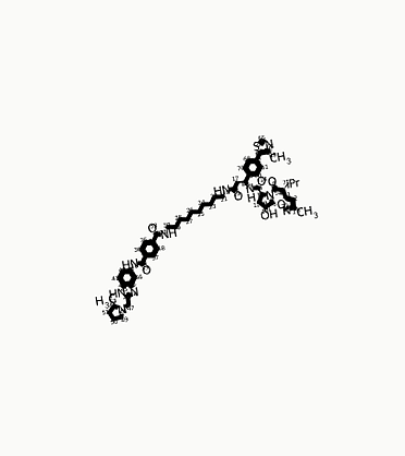 Cc1cc([C@H](C(=O)N2C[C@H](O)C[C@H]2C(=O)N[C@@H](CC(=O)NCCCCCCCCCCNC(=O)c2ccc(C(=O)Nc3ccc4[nH]c(CN5CCC[C@@H]5C)nc4c3)cc2)c2ccc(-c3scnc3C)cc2)C(C)C)on1